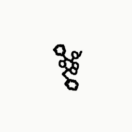 CCOC(=O)C(OC(=O)Cc1ccccc1)c1ccccc1